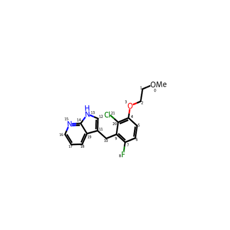 COCCOc1ccc(F)c(Cc2c[nH]c3ncccc23)c1Cl